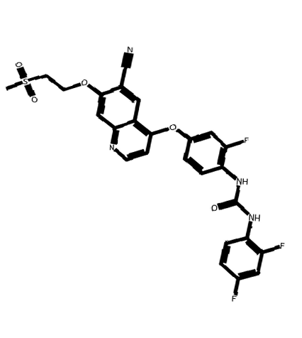 CS(=O)(=O)CCOc1cc2nccc(Oc3ccc(NC(=O)Nc4ccc(F)cc4F)c(F)c3)c2cc1C#N